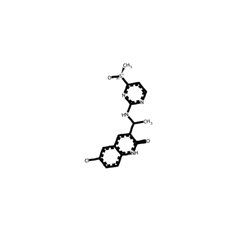 CC(Nc1nccc([S@+](C)[O-])n1)c1cc2cc(Cl)ccc2[nH]c1=O